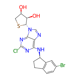 O[C@@H]1[C@H](O)CS[C@H]1n1cnc2c(N[C@@H]3CCc4ccc(Br)cc43)nc(Cl)nc21